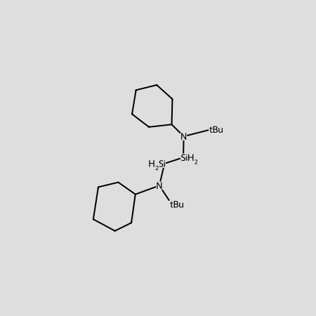 CC(C)(C)N([SiH2][SiH2]N(C1CCCCC1)C(C)(C)C)C1CCCCC1